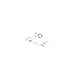 CNC(=C[N+](=O)[O-])NCCSCc1csc(CN)n1.Cc1ccc(S(=O)(=O)O)cc1